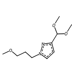 COCCCn1ccc(C(OC)OC)n1